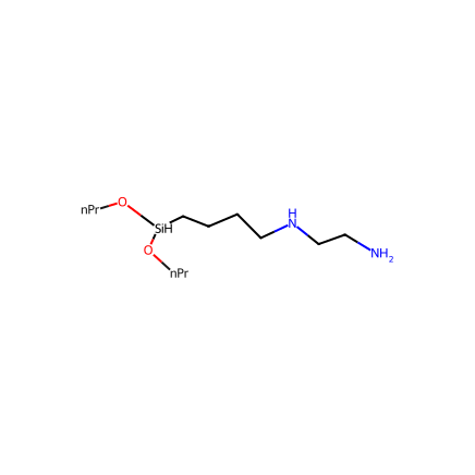 CCCO[SiH](CCCCNCCN)OCCC